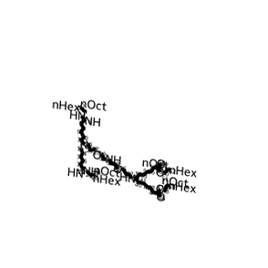 CCCCCCCCC(CCCCCC)CNC(=N)CCCCCN(CCCCCC(=N)NCC(CCCCCC)CCCCCCCC)CCCOCCNCCOCCCNC(CCCCCC(=O)OCC(CCCCCC)CCCCCCCC)CCCCCC(=O)OCC(CCCCCC)CCCCCCCC